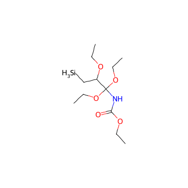 CCOC(=O)NC(OCC)(OCC)C(C[SiH3])OCC